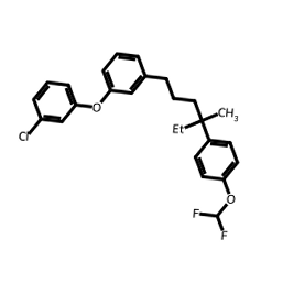 CCC(C)(CCCc1cccc(Oc2cccc(Cl)c2)c1)c1ccc(OC(F)F)cc1